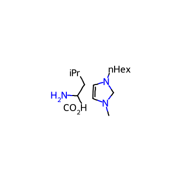 CC(C)CC(N)C(=O)O.CCCCCCN1C=CN(C)C1